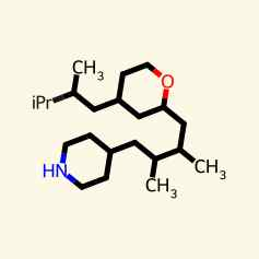 CC(C)C(C)CC1CCOC(CC(C)C(C)CC2CCNCC2)C1